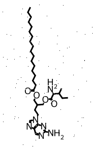 CCCCCCCCCCCCCCCCCC(=O)OCC(CCn1cnc2cnc(N)nc21)COC(=O)[C@@H](N)C(C)CC